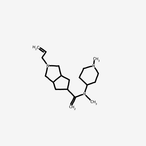 C=CCN1CC2CC(C(=C)N(C)C3CCN(C)CC3)CC2C1